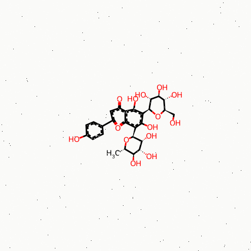 C[C@@H]1O[C@@H](c2c(O)c([C@@H]3O[C@H](CO)[C@@H](O)[C@H](O)[C@H]3O)c(O)c3c(=O)cc(-c4ccc(O)cc4)oc23)[C@H](O)[C@H](O)[C@H]1O